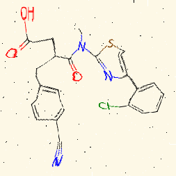 CN(C(=O)C(CC(=O)O)Cc1ccc(C#N)cc1)c1nc(-c2ccccc2Cl)cs1